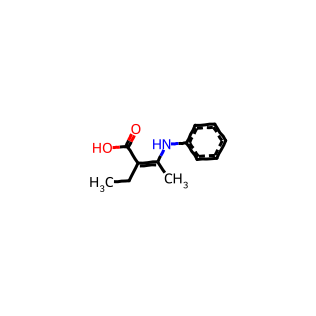 CCC(C(=O)O)=C(C)Nc1ccccc1